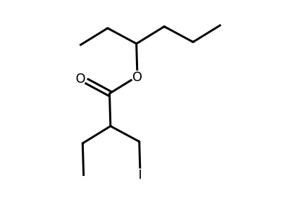 CCCC(CC)OC(=O)C(CC)CI